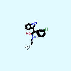 C=CCNC(O)C(c1cccc(Cl)c1)c1c[nH]c2ccccc12